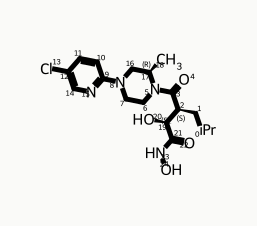 CC(C)C[C@H](C(=O)N1CCN(c2ccc(Cl)cn2)C[C@H]1C)[C@H](O)C(=O)NO